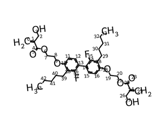 C=C(CO)C(=O)OCCOc1ccc(-c2ccc(OCCOC(=O)C(=C)CO)c(CCCCC)c2F)c(F)c1CCCCC